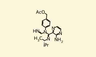 CC(=O)OCc1ccc(N(C=N)/C(=N\[C@@H](C)C(C)C)c2nccnc2N)cc1